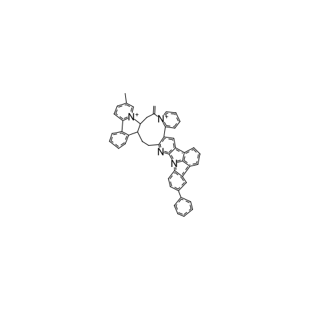 C=C1CC2C(CCc3nc4c(cc3-c3cccc[n+]31)c1cccc3c5cc(-c6ccccc6)ccc5n4c31)c1ccccc1-c1ccc(C)c[n+]12